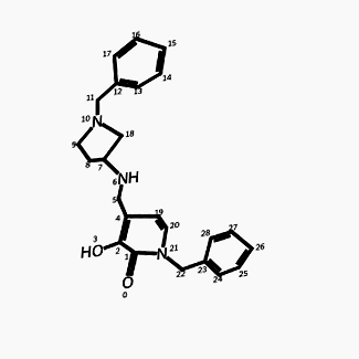 O=c1c(O)c(CNC2CCN(Cc3ccccc3)C2)ccn1Cc1ccccc1